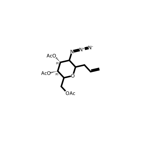 C=CCC1OC(COC(C)=O)[C@H](OC(C)=O)[C@H](OC(C)=O)C1N=[N+]=[N-]